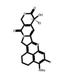 CC[C@@]1(O)C(=O)OCc2c1cc1n(c2=O)Cc2c-1nc1cc(F)c(NC)c3c1c2CCC3